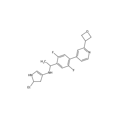 CCC1CC(NC(C)c2cc(F)c(-c3ccnc(C4COC4)c3)cc2F)=CN1